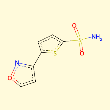 NS(=O)(=O)c1ccc(-c2ccon2)s1